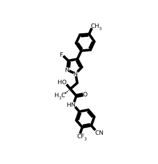 Cc1ccc(-c2cn(C[C@](C)(O)C(=O)Nc3ccc(C#N)c(C(F)(F)F)c3)nc2F)cc1